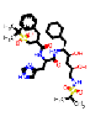 CC(C)S(=O)(=O)NC[C@H](O)C[C@H](O)[C@H](CC1CCCCC1)NC(=O)C(Cc1c[nH]cn1)NC(=O)C(Cc1ccccc1)CS(=O)(=O)C(C)(C)C